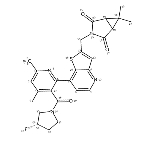 Cc1cc(C(F)(F)F)nc(-c2ccnc3cc(CN4C(=O)C5C(C4=O)C5(C)C)sc23)c1C(=O)N1CC[C@H](F)C1